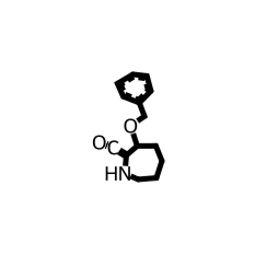 O=C=C1NCCCCC1OCc1ccccc1